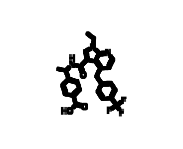 CCn1cc(C(=O)NC(C)c2ccc(C(=O)O)cc2)c2c(Cc3ccc(C(F)(F)F)cc3)ccnc21